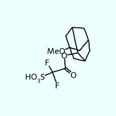 COC12CC3CC(C1)C(OC(=O)C(F)(F)S(=O)(=O)O)C(C3)C2